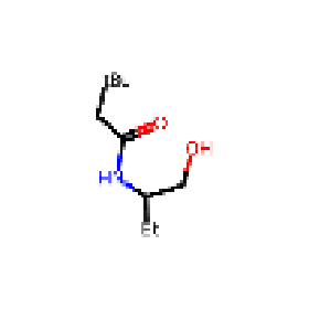 CCC(CO)NC(=O)CC(C)(C)C